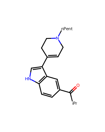 CCCCCN1CC=C(c2c[nH]c3ccc(C(=O)C(C)C)cc23)CC1